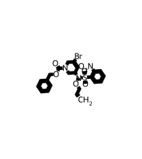 C=CCON(C1C=C(Br)CN(C(=O)OCc2ccccc2)C1)S(=O)(=O)c1ccccc1[N+](=O)[O-]